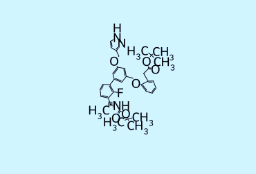 C[C@@H](NC(=O)OC(C)(C)C)c1cccc(-c2cc(COc3ccccc3CC(=O)OC(C)(C)C)cc(OCc3cc[nH]n3)c2)c1F